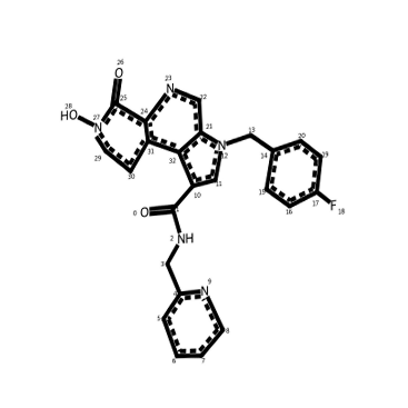 O=C(NCc1ccccn1)c1cn(Cc2ccc(F)cc2)c2cnc3c(=O)n(O)ccc3c12